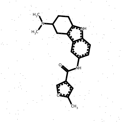 Cc1cc(C(=O)Nc2ccc3[nH]c4c(c3c2)CC(N(C)C)CC4)co1